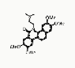 COc1cc2ccc3c4cc(OC)c(OC)cc4c(=O)n(CCN(C)C)c3c2cc1OC